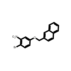 O=[N+]([O-])c1cc(OCc2ccc3ccccc3c2)ccc1Br